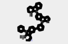 C/C=C\c1c(N)n(-c2ccccc2)c2ccc(-c3cccc(N4c5ccc(N6c7ccccc7C7=CC=CNC76)cc5C5=CC=NC54)c3)cc12